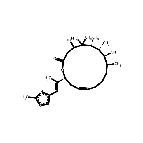 C/C(=C\c1csc(C)n1)[C@@H]1C/C=C\CCC[C@H](C)[C@H](C)[C@@H](C)[C@@H](C)C(C)(C)C(O)CC(=O)O1